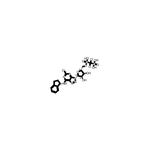 O=P(O)(O)C(Cl)(Cl)P(=O)(O)OC[C@H]1O[C@@H](n2nnc3c(N[C@H]4CCc5ccccc54)nc(Cl)nc32)[C@H](O)[C@@H]1O